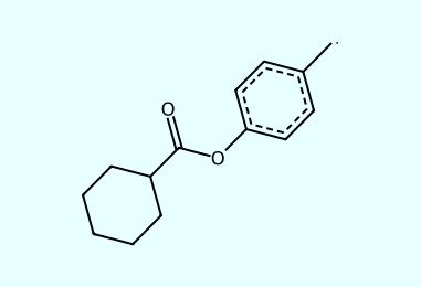 [CH2]c1ccc(OC(=O)C2CCCCC2)cc1